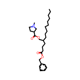 CCCCCCCCCCC(CCCC(=O)OCc1ccccc1)COC(=O)C1CCN(C)C1